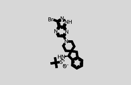 CC(C)(C)[S@@+]([O-])N[C@@H]1c2ccccc2CC12CCN(c1cnc3c(Br)n[nH]c3n1)CC2